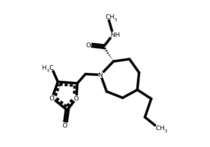 CCCC1CC[C@@H](C(=O)NC)N(Cc2oc(=O)oc2C)CC1